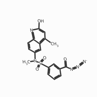 Cc1cc(O)nc2ccc(N(C)S(=O)(=O)c3cccc(C(=O)N=[N+]=[N-])c3)cc12